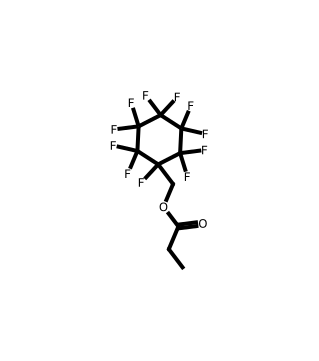 CCC(=O)OCC1(F)C(F)(F)C(F)(F)C(F)(F)C(F)(F)C1(F)F